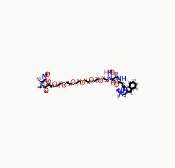 CNN(C)Cc1cc2ccccc2n1CCC(=O)N[C@@H](CO)C(=O)NCCOCCOCCOCCOCCOCCOCCC(=O)N(C)[C@@H](C)C(=O)N=O